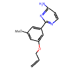 C=CCOc1cc(OC)cc(-c2nccc(N)n2)c1